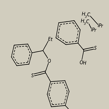 CC(C)C.CC(C)C.CCC(OC(=S)c1ccc(O)cc1)c1ccccc1.OC(=S)c1ccccc1